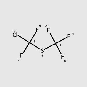 FC(F)(F)SC(F)(F)Cl